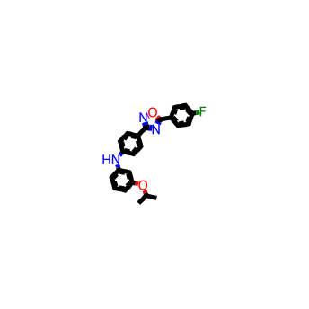 CC(C)Oc1cccc(Nc2ccc(-c3noc(-c4ccc(F)cc4)n3)cc2)c1